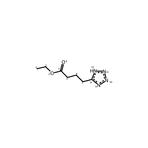 CCOC(=O)CCCc1nnn[nH]1